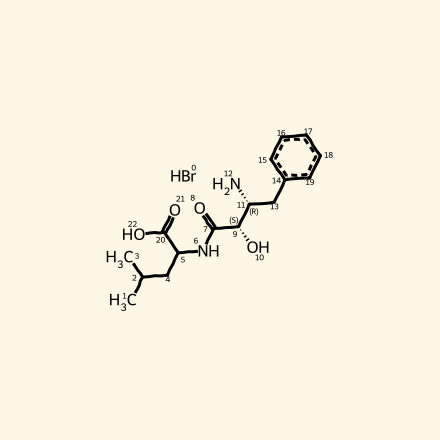 Br.CC(C)CC(NC(=O)[C@@H](O)[C@H](N)Cc1ccccc1)C(=O)O